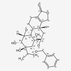 CC(C)[C@]1(O)[C@H](O)[C@@H]2O[C@]23[C@]2(O[C@H]2C[C@H]2C4=C(CC[C@@]23C)C(=O)OC4)[C@@H]1OCc1ccccc1